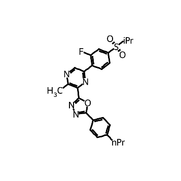 CCCc1ccc(-c2nnc(-c3nc(-c4ccc(S(=O)(=O)C(C)C)cc4F)cnc3C)o2)cc1